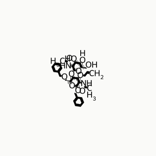 C=CCO[C@@H]1[C@@H](NC(C)=O)[C@H](OCc2ccccc2)O[C@H](COCc2ccccc2)[C@H]1O[C@@H]1O[C@H](CO)[C@@H](O)[C@H](O)[C@H]1NC(C)=O